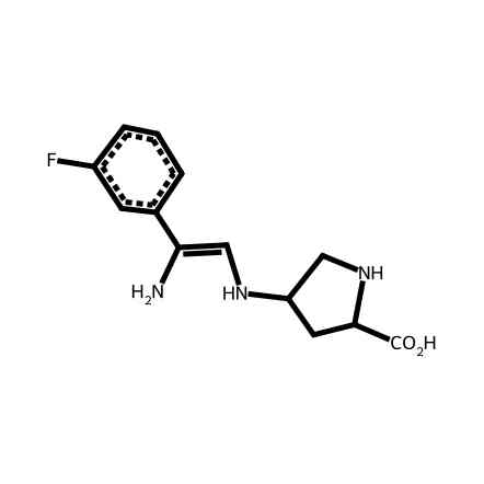 N/C(=C\NC1CNC(C(=O)O)C1)c1cccc(F)c1